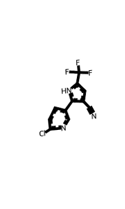 N#Cc1cc(C(F)(F)F)[nH]c1-c1ccc(Cl)nc1